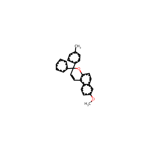 COc1ccc2c3c(ccc2c1)OC(c1ccccc1)(c1ccc(C)cc1)C=C3